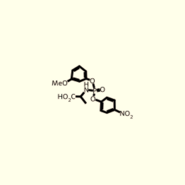 COc1cccc(OP(=O)(NC(C)C(=O)O)Oc2ccc([N+](=O)[O-])cc2)c1